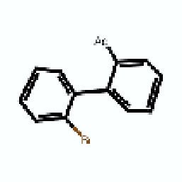 CC(=O)c1ccccc1-c1ccccc1Br